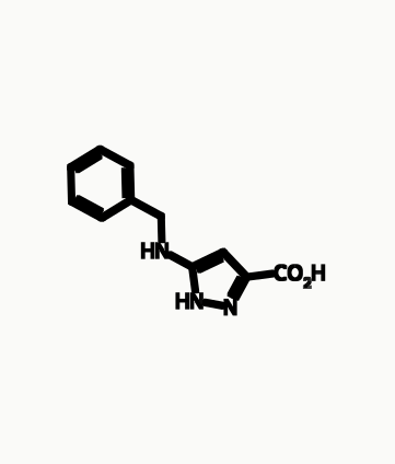 O=C(O)c1cc(NCc2ccccc2)[nH]n1